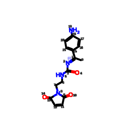 C/C(=N\C(=O)NCCN1C(=O)C=CC1=O)c1ccc(N)cc1